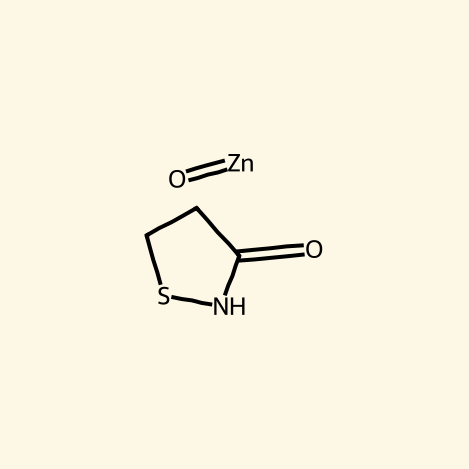 O=C1CCSN1.[O]=[Zn]